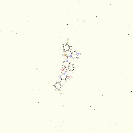 O=C(N1CC[C@@](O)(Cn2cnc(-c3cccc(F)c3)cc2=O)C2(CCCC2)C1)N1CCNC[C@H]1c1cc(F)ccc1F